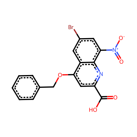 O=C(O)c1cc(OCc2ccccc2)c2cc(Br)cc([N+](=O)[O-])c2n1